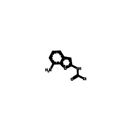 CCC(=O)Nc1cc2cccc(N)c2o1